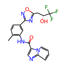 Cc1ccc(-c2noc(C[C@@H](O)C(F)(F)F)n2)cc1NC(=O)c1cnc2ccccn12